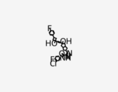 Cn1cnc(C2CC3CC(O)(C#CC4(O)CC(c5ccc(F)cc5)C4)CC3C2)c1C(=O)Nc1ccc(F)c(Cl)c1